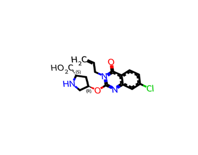 C=CCn1c(O[C@H]2CN[C@H](C(=O)O)C2)nc2cc(Cl)ccc2c1=O